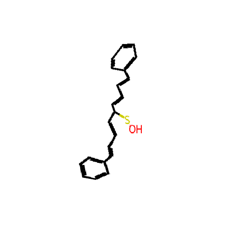 OSC(/C=C/C=C/c1ccccc1)/C=C/C=C/c1ccccc1